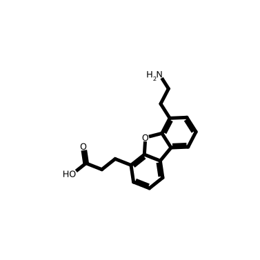 NCCc1cccc2c1oc1c(CCC(=O)O)cccc12